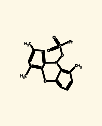 CCCS(=O)(=O)ON1c2cc(C)cc(C)c2Oc2cccc(C)c21